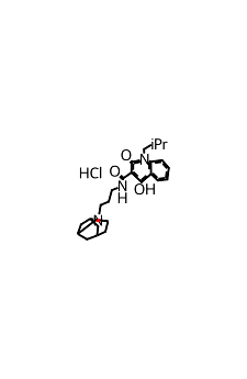 CC(C)Cn1c(=O)c(C(=O)NCCCN2C3CC4CC(C3)CC2C4)c(O)c2ccccc21.Cl